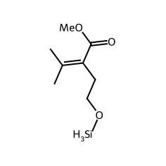 COC(=O)C(CCO[SiH3])=C(C)C